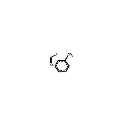 C=CF.Nc1ccccc1